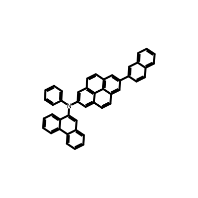 c1ccc(N(c2cc3ccc4cc(-c5ccc6ccccc6c5)cc5ccc(c2)c3c45)c2cc3ccccc3c3ccccc23)cc1